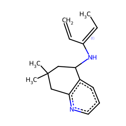 C=C/C(=C\C)NC1CC(C)(C)Cc2ncccc21